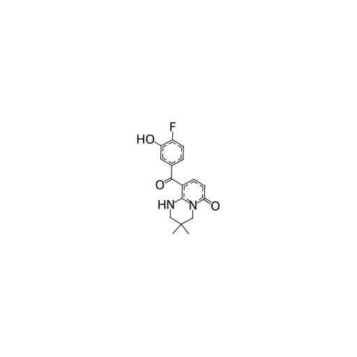 CC1(C)CNc2c(C(=O)c3ccc(F)c(O)c3)ccc(=O)n2C1